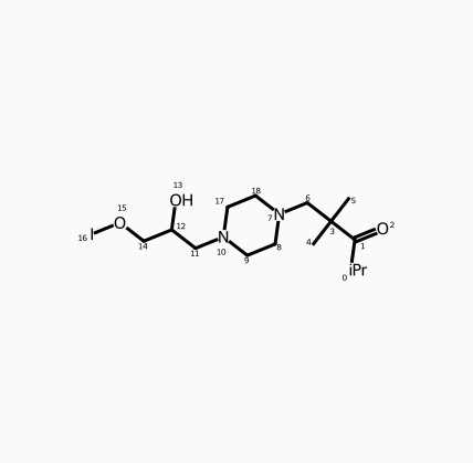 CC(C)C(=O)C(C)(C)CN1CCN(CC(O)COI)CC1